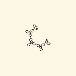 C1=CC2SC=C(c3ccc(N(c4ccccc4)c4ccc(-c5ccc(N(c6ccccc6)c6ccc(-c7ccc(N(c8ccccc8)c8ccc(C9=CSC%10C=CC=CC9%10)cc8)cc7)cc6)cc5)cc4)cc3)C2C=C1